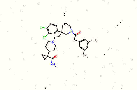 Cc1cc(C)cc(CC(=O)N2CCCC(CCN3CCC(C4(C(N)=O)CC4)CC3)(c3ccc(Cl)c(Cl)c3)C2)c1